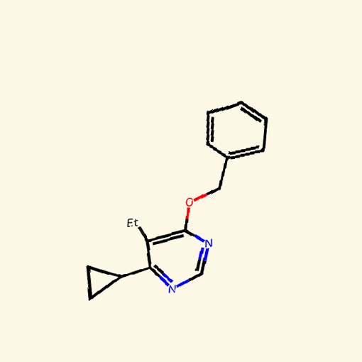 CCc1c(OCc2ccccc2)ncnc1C1CC1